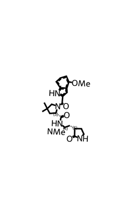 CN[C@H](C[C@@H]1CCNC1=O)NC(=O)[C@@H]1CC(C)(C)CN1C(=O)c1cc2c(OC)cccc2[nH]1